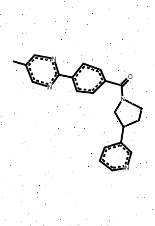 Cc1cnc(-c2ccc(C(=O)N3CCC(c4cccnc4)C3)cc2)nc1